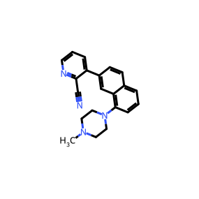 CN1CCN(c2cccc3ccc(-c4cccnc4C#N)cc23)CC1